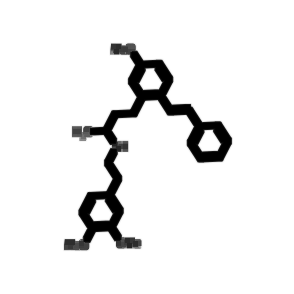 COc1ccc(/C=C/c2ccccc2)c(CCC(C)NCCc2ccc(OC)c(OC)c2)c1